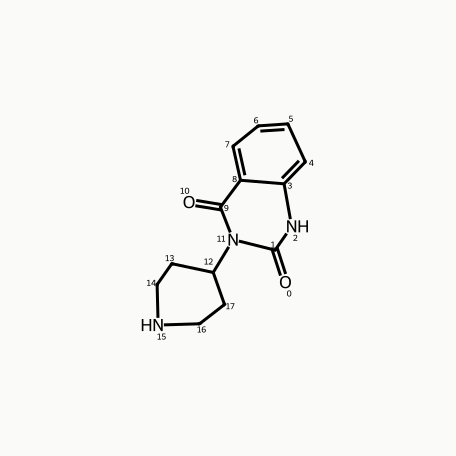 O=c1[nH]c2ccccc2c(=O)n1C1CCNCC1